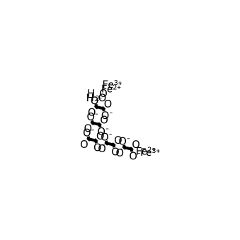 O.O.O=C([O-])C(=O)[O-].O=C([O-])C(=O)[O-].O=C([O-])C(=O)[O-].O=C([O-])C(=O)[O-].O=C([O-])C(=O)[O-].[Fe+2].[Fe+2].[Fe+3].[Fe+3]